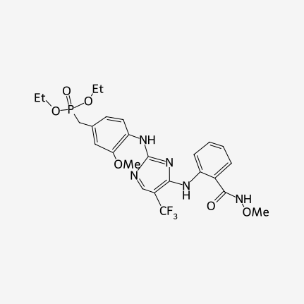 CCOP(=O)(Cc1ccc(Nc2ncc(C(F)(F)F)c(Nc3ccccc3C(=O)NOC)n2)c(OC)c1)OCC